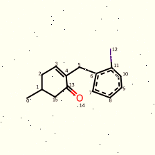 CC1CC=C(Cc2ccccc2I)C(=O)C1